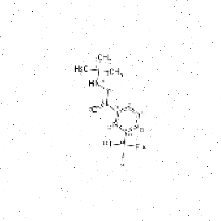 CC(C)(C)NCC(=O)c1cccc(C(F)(F)F)n1